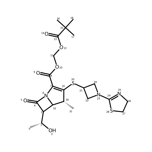 C[C@@H](O)C1C(=O)N2C(C(=O)OCOC(=O)C(C)(C)C)=C(SC3CN(C4=NCCS4)C3)[C@H](C)C12